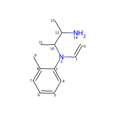 C=CN(c1ccccc1C)C(C)C(C)N